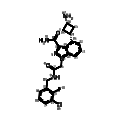 NC(=O)c1nn(CC(=O)NCc2cccc(Cl)c2F)c2cccc([C@H]3C[C@@H](N)C3)c12